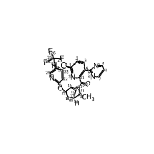 Cc1ccc(-c2ncccn2)c(C(=O)N2C3C[C@H](C[C@H]3Oc3ccc(C(F)(F)F)cn3)[C@H]2C)n1